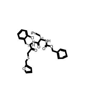 CC(C)C[C@H](NC(=O)OCc1ccccc1)C(=O)N[C@@H](Cc1ccccc1Cl)C(=O)CSCc1ccco1